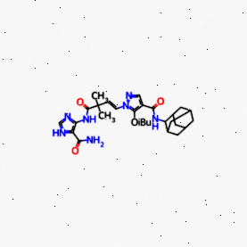 CC(C)COc1c(C(=O)NC2C3CC4CC(C3)CC2C4)cnn1/C=C/C(C)(C)C(=O)Nc1nc[nH]c1C(N)=O